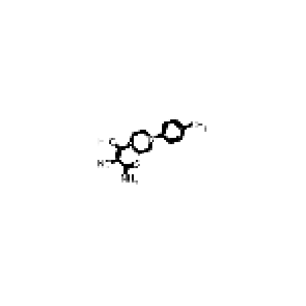 CC(=C(C#N)C(N)=S)N1CCN(c2ccc(C)cc2)CC1